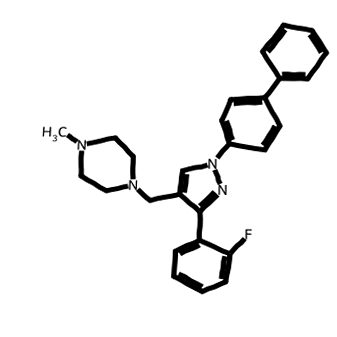 CN1CCN(Cc2cn(-c3ccc(-c4ccccc4)cc3)nc2-c2ccccc2F)CC1